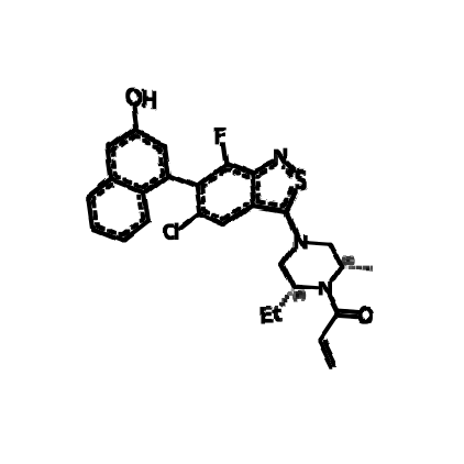 C=CC(=O)N1[C@H](CC)CN(c2snc3c(F)c(-c4cc(O)cc5ccccc45)c(Cl)cc23)C[C@@H]1C